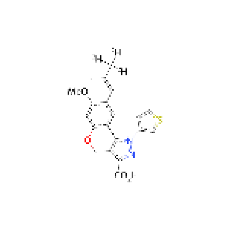 [2H]C([2H])([2H])C(C)=Cc1cc2c(cc1OC)OCc1c(C(=O)O)nn(-c3ccsc3)c1-2